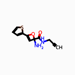 C#CCNC(=O)C1(N)C=C(c2cccs2)O1